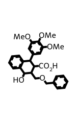 COc1cc(C2c3ccccc3C(O)C(COCc3ccccc3)C2C(=O)O)cc(OC)c1OC